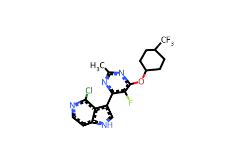 Cc1nc(OC2CCC(C(F)(F)F)CC2)c(F)c(-c2c[nH]c3ccnc(Cl)c23)n1